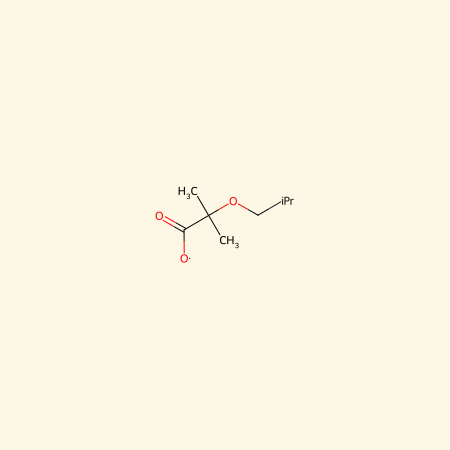 CC(C)COC(C)(C)C([O])=O